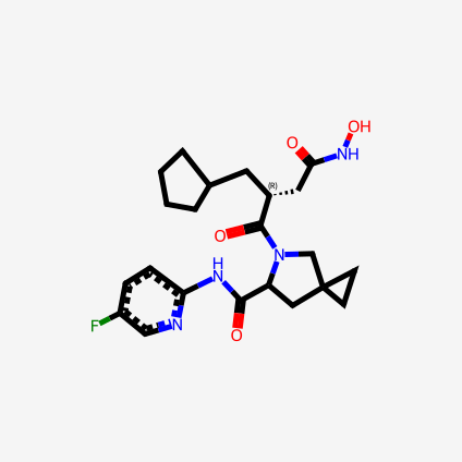 O=C(C[C@@H](CC1CCCC1)C(=O)N1CC2(CC2)CC1C(=O)Nc1ccc(F)cn1)NO